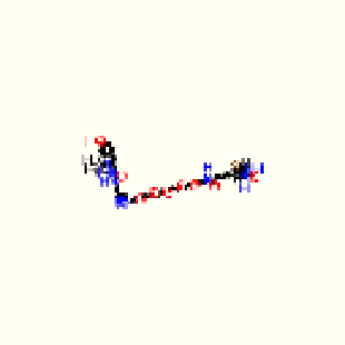 CN(C)[C@H](CNC(=O)NCCc1cn(CCOCCOCCOCCOCCOCCNC(=O)CCCC[C@@H]2SC[C@@H]3NC(=O)N[C@@H]32)nn1)Cc1ccc(O)cc1